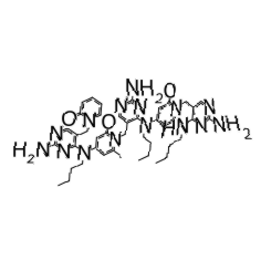 CCCCNc1nc(N)ncc1Cn1cc(C)c(N(CCCC)c2nc(N)ncc2Cn2c(C)cc(N(CCCC)c3nc(N)ncc3Cn3ccccc3=O)cc2=O)cc1=O